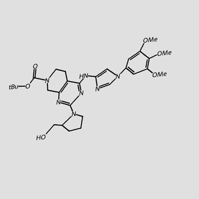 COc1cc(-n2cnc(Nc3nc(N4CCCC4CO)nc4c3CCN(C(=O)OC(C)(C)C)C4)c2)cc(OC)c1OC